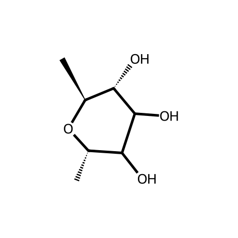 C[C@@H]1O[C@@H](C)[C@H](O)C(O)C1O